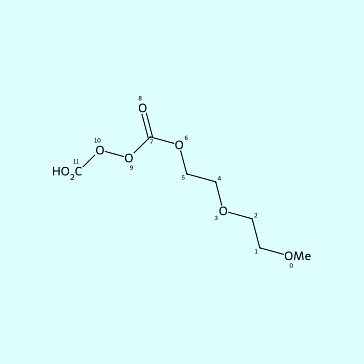 COCCOCCOC(=O)OOC(=O)O